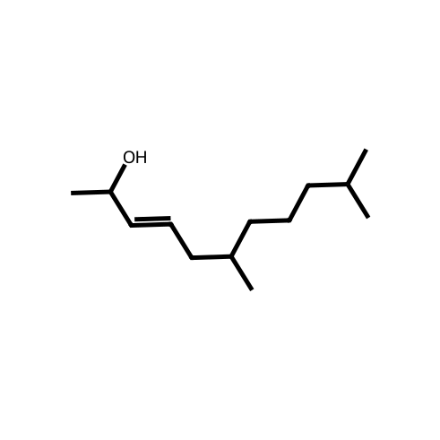 CC(O)C=CCC(C)CCCC(C)C